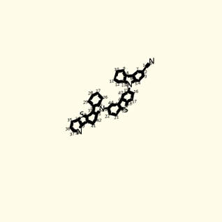 N#Cc1ccc2c(c1)c1ccccc1n2-c1ccc2sc3ccc(-n4c5ccccc5c5c6sc7cccnc7c6ccc54)cc3c2c1